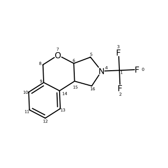 FC(F)(F)N1CC2OCc3ccccc3C2C1